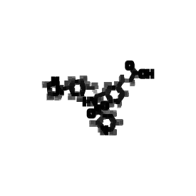 O=C(O)CCc1cccc([C@@H](Cc2ccc(-n3cccn3)cc2)NS(=O)(=O)c2cccnc2)c1